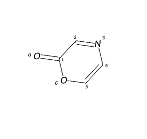 O=c1[c]ncco1